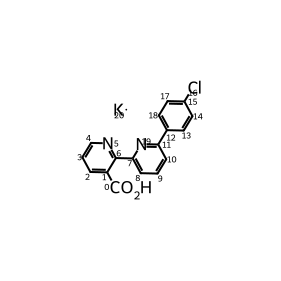 O=C(O)c1cccnc1-c1cccc(-c2ccc(Cl)cc2)n1.[K]